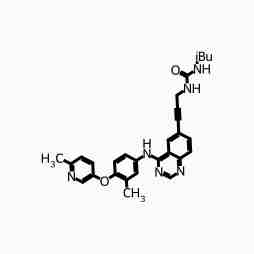 CCC(C)NC(=O)NCC#Cc1ccc2ncnc(Nc3ccc(Oc4ccc(C)nc4)c(C)c3)c2c1